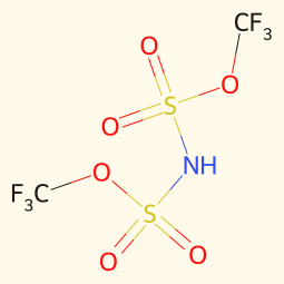 O=S(=O)(NS(=O)(=O)OC(F)(F)F)OC(F)(F)F